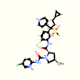 CO[C@@H]1C[C@H](C(=O)Nc2cc(C(CCC3CC3)(c3ccncc3)S(C)(=O)=O)ccc2F)N(C(=O)Nc2ccc(Cl)cn2)C1